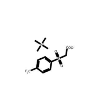 C[N+](C)(C)C.O=C([O-])CS(=O)(=O)c1ccc(C(F)(F)F)cc1